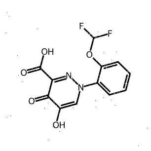 O=C(O)c1nn(-c2ccccc2OC(F)F)cc(O)c1=O